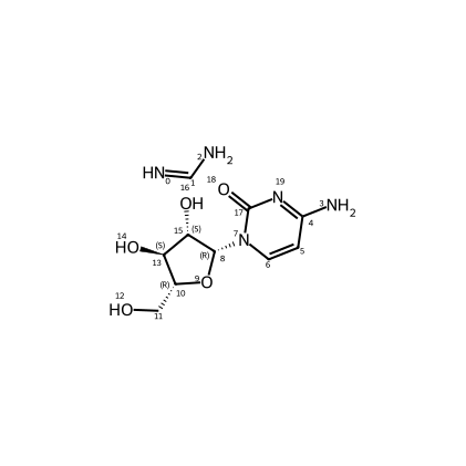 N=CN.Nc1ccn([C@@H]2O[C@H](CO)[C@@H](O)[C@@H]2O)c(=O)n1